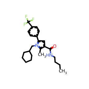 CCCCNC(=O)c1cc(-c2ccc(C(F)(F)F)cc2)n(CC2CCCCC2)c1C